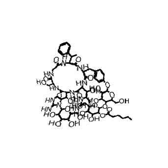 CCCCCC(=O)OC1C(OC2C(CO)OC(Oc3ccc(CC4NC(=O)C(C(C)c5ccccc5)NC(=O)CNC(=O)C(CO)NC(=O)C(C(O)C5CNC(=N)N5C5OC(CO)C(O)C(O)C5O)NC(=O)C(C(O)C5CNC(=N)N5)NC4=O)cc3)C(O)C2O)OC(CO)C(O)C1O